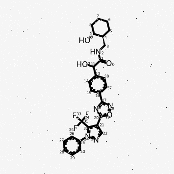 O=C(NC[C@@H]1CCCC[C@H]1O)C(O)c1ccc(-c2noc(-c3cnn(-c4ccccc4)c3C(F)(F)F)n2)cc1